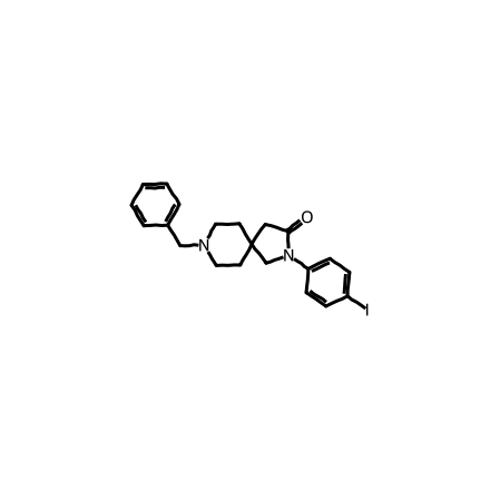 O=C1CC2(CCN(Cc3ccccc3)CC2)CN1c1ccc(I)cc1